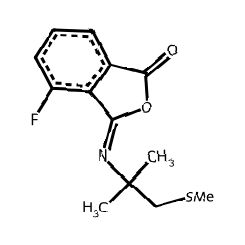 CSCC(C)(C)N=C1OC(=O)c2cccc(F)c21